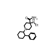 CCNC1(C(N)=O)CCN(C2CCCCC2c2ccccc2)CC1